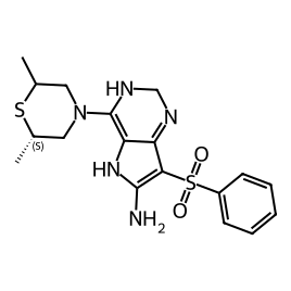 CC1CN(C2=c3[nH]c(N)c(S(=O)(=O)c4ccccc4)c3=NCN2)C[C@H](C)S1